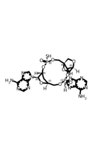 Nc1ncnc2c1ncn2[C@@H]1O[C@@]23CO[C@@H]1[C@@H]2O[P@@](=O)(S)OC[C@@H]1C[C@@H](O[P@](=O)(S)OC3)[C@H](n2cnc3c(N)ncnc32)O1